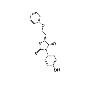 O=C1C(=CCOc2ccccc2)SC(=S)N1c1ccc(O)cc1